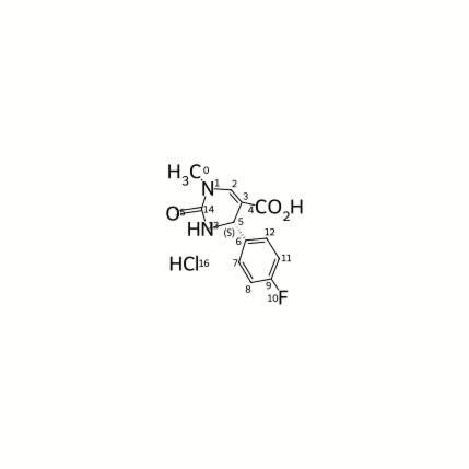 CN1C=C(C(=O)O)[C@H](c2ccc(F)cc2)NC1=O.Cl